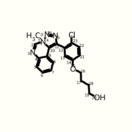 C[N+]12C=Nc3ccccc3C1=C(c1cc(OCCCCO)ccc1Cl)N=N2